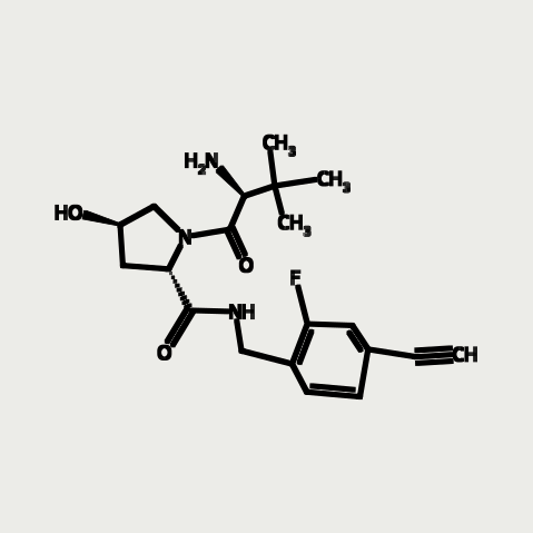 C#Cc1ccc(CNC(=O)[C@@H]2C[C@@H](O)CN2C(=O)[C@@H](N)C(C)(C)C)c(F)c1